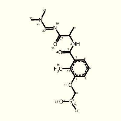 CC(NC(=O)c1cccc(OC[S+](C)[O-])c1C(F)(F)F)C(=O)/N=C/N(C)C